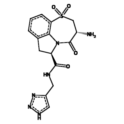 N[C@H]1CS(=O)(=O)c2cccc3c2N(C1=O)[C@@H](C(=O)NCc1c[nH]nn1)C3